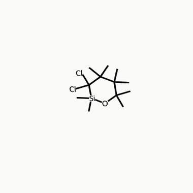 CC1(C)O[Si](C)(C)C(Cl)(Cl)C(C)(C)C1(C)C